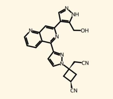 N#CC[C@]1(n2ccc(-c3nc(-c4cn[nH]c4CO)cc4ncccc34)n2)C[C@H](C#N)C1